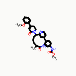 COC(=O)Nc1ccc2c(c1)NC(=O)C(C)CCCC(N1CCC(c3ccccc3OC)=CC1=O)c1cc-2ccn1